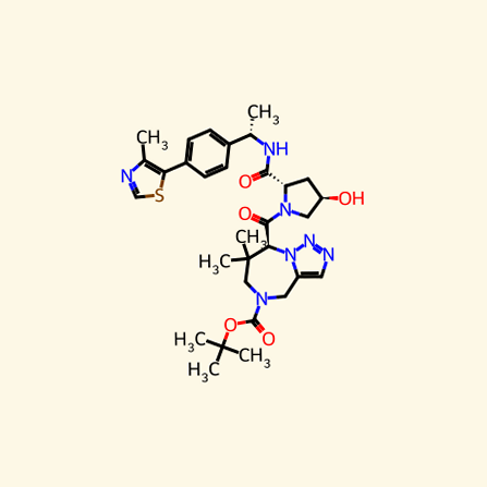 Cc1ncsc1-c1ccc([C@H](C)NC(=O)[C@@H]2C[C@@H](O)CN2C(=O)[C@H]2n3nncc3CN(C(=O)OC(C)(C)C)CC2(C)C)cc1